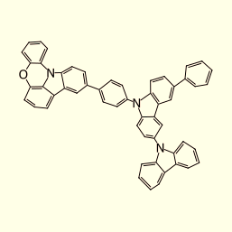 c1ccc(-c2ccc3c(c2)c2cc(-n4c5ccccc5c5ccccc54)ccc2n3-c2ccc(-c3ccc4c(c3)c3cccc5c3n4-c3ccccc3O5)cc2)cc1